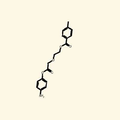 Cc1ccc(C(=O)OCCOCC(=O)Oc2ccc(N)cc2)cc1